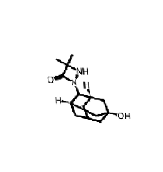 CC1(C)NN(C2[C@H]3CC4C[C@H]2CC(O)(C4)C3)C1=O